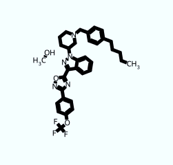 CCCCCc1ccc(CN2CCCC(n3nc(-c4nc(-c5ccc(OC(F)(F)F)cc5)no4)c4ccccc43)C2)cc1.CO